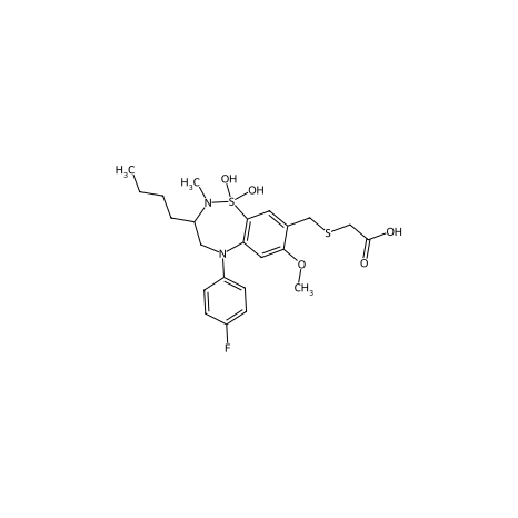 CCCCC1CN(c2ccc(F)cc2)c2cc(OC)c(CSCC(=O)O)cc2S(O)(O)N1C